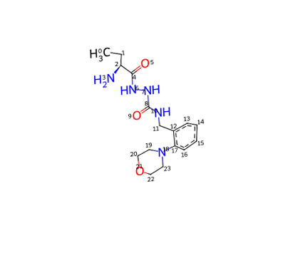 CC[C@H](N)C(=O)NNC(=O)NCc1ccccc1N1CCOCC1